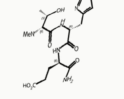 CN[C@@H](C(=O)N[C@H](Cc1c[nH]cn1)C(=O)N[C@H](CCC(=O)O)C(N)=O)[C@H](C)O